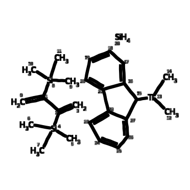 C=C(C(=C)[Si](C)(C)C)[Si](C)(C)C.[CH3][Ti]([CH3])[CH]1c2ccccc2-c2ccccc21.[SiH4]